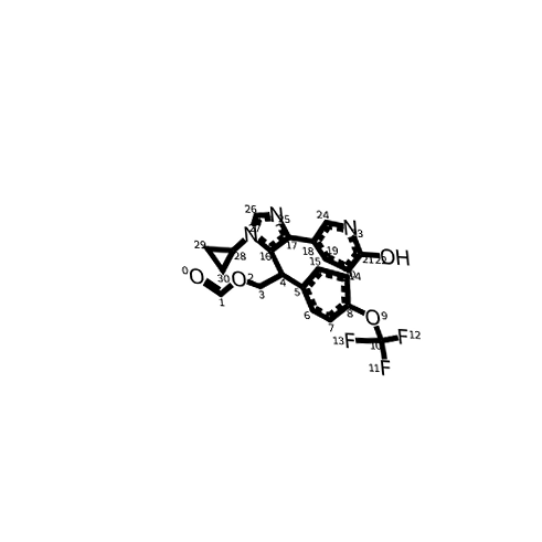 O=COCC(c1ccc(OC(F)(F)F)cc1)c1c(-c2ccc(O)nc2)ncn1C1CC1